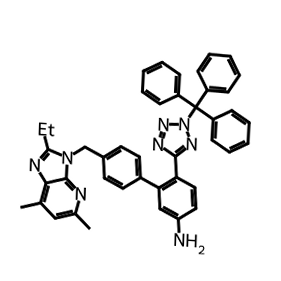 CCc1nc2c(C)cc(C)nc2n1Cc1ccc(-c2cc(N)ccc2-c2nnn(C(c3ccccc3)(c3ccccc3)c3ccccc3)n2)cc1